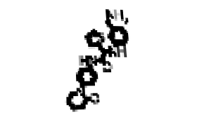 NCc1cccc(NC(C(=O)Nc2ccc(N3CCCCC3=O)cc2)c2cccs2)c1